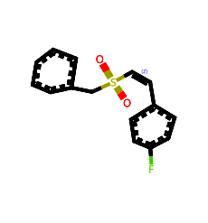 O=S(=O)(/C=C\c1ccc(F)cc1)Cc1ccccc1